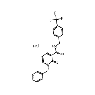 Cl.N=C(NCc1ccc(C(F)(F)F)cc1)c1cccn(Cc2ccccc2)c1=O